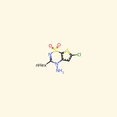 CCCCCCC1=NS(=O)(=O)c2sc(Cl)cc2N1N